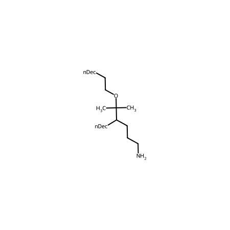 CCCCCCCCCCCCOC(C)(C)C(CCCN)CCCCCCCCCC